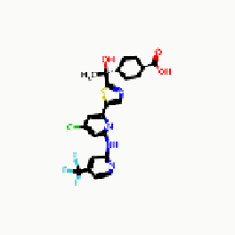 CC(O)(c1ncc(-c2cc(Cl)cc(Nc3cc(C(F)(F)F)ccn3)n2)s1)[C@H]1CC[C@H](C(=O)O)CC1